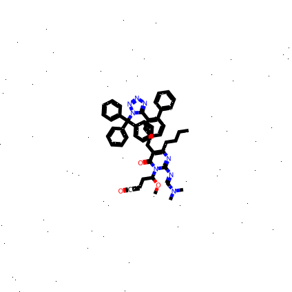 CCCCc1nc(N=CN(C)C)n(C(CC=C=O)OC)c(=O)c1Cc1ccc(-c2ccccc2)c(-c2nnnn2C(c2ccccc2)(c2ccccc2)c2ccccc2)c1